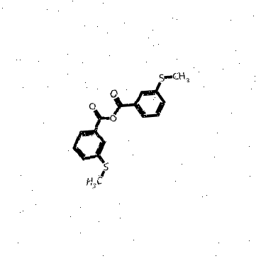 CSc1cccc(C(=O)OC(=O)c2cccc(SC)c2)c1